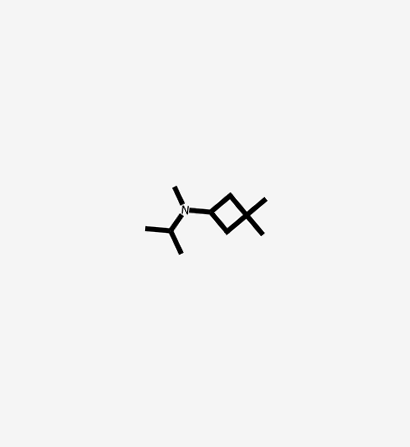 CC(C)N(C)C1CC(C)(C)C1